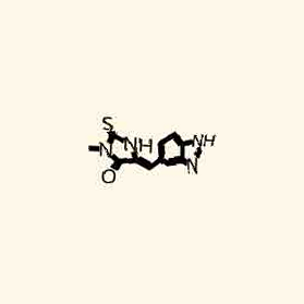 CN1C(=O)/C(=C/c2ccc3[nH]cnc3c2)NC1=S